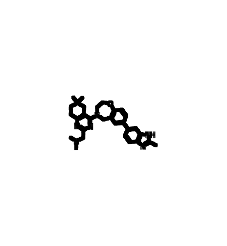 Cc1nc2ccc(-c3ccc4c(c3)CN(c3nc(CN(C)C)nc5c3CC(C)(C)CC5)CCO4)cc2[nH]1